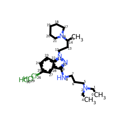 CCN(CC)CCCNc1nn(CCC(C)N2CCCCC2)c2ccc(Cl)cc12.Cl.Cl